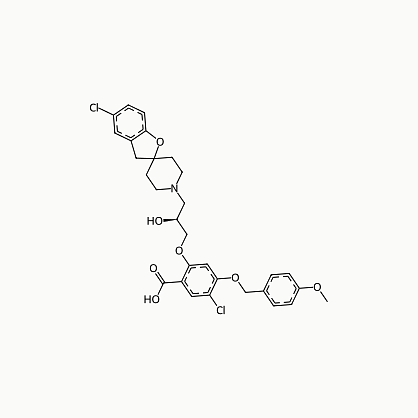 COc1ccc(COc2cc(OC[C@@H](O)CN3CCC4(CC3)Cc3cc(Cl)ccc3O4)c(C(=O)O)cc2Cl)cc1